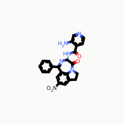 Nc1cnccc1C(=O)N[C@H]1N=C(c2ccccc2)c2cc([N+](=O)[O-])cc3c2N(CC3)C1=O